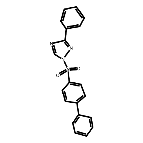 O=S(=O)(c1ccc(-c2ccccc2)cc1)n1cnc(-c2ccccc2)n1